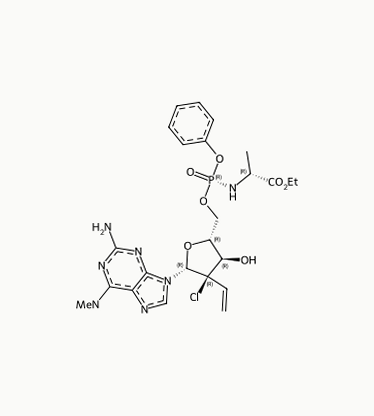 C=C[C@@]1(Cl)[C@H](O)[C@@H](CO[P@](=O)(N[C@H](C)C(=O)OCC)Oc2ccccc2)O[C@H]1n1cnc2c(NC)nc(N)nc21